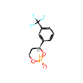 O=[PH]1OCC[C@@H](c2cccc(C(F)(F)F)c2)O1